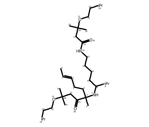 CC=CCCC(C)(NC(CCC)CCCCNC(=O)CC(C)(C)OCCC(C)C)C(=O)CC(C)(C)OCCC(C)C